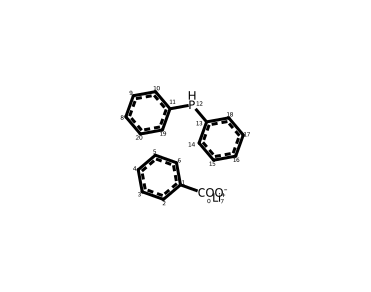 O=C([O-])c1ccccc1.[Li+].c1ccc(Pc2ccccc2)cc1